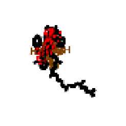 CCO[Si](OCC)(OCC)SS(SS)(C(CC(C)CCCC(C)CCCCC(C)CCCC(C)CCCC(C)C)=C(C(C)=C(S(SS)(S[Si](OCC)(OCC)OCC)C1CC2CCC1C2)S(SS)(S[Si](OCC)(OCC)OCC)C1CC2CCC1C2)S(SS)(S[Si](OCC)(OCC)OCC)C1CC2CCC1C2)C1CC2CCC1C2